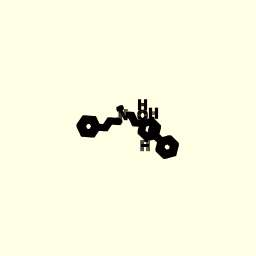 CN(CCCc1ccccc1)CC[C@]1(O)C[C@H]2CC[C@@H]1C=C2c1ccccc1